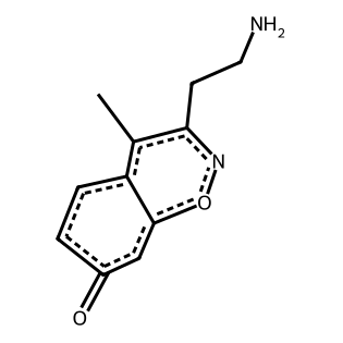 Cc1c2ccc(=O)cc-2onc1CCN